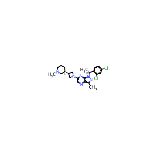 Cc1nn([C@H](C)c2ccc(Cl)cc2Cl)c2nc(N3CC([C@@H]4CCCN(C)C4)C3)cnc12